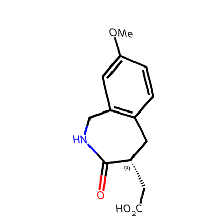 COc1ccc2c(c1)CNC(=O)[C@@H](CC(=O)O)C2